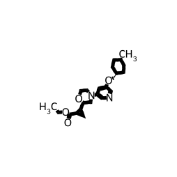 CCOC(=O)C1CC1C1CN(c2cncc(OC[C@H]3CC[C@H](C)CC3)c2)CCO1